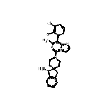 Cc1nc(N2CCC3(CC2)Cc2ccccc2[C@H]3N)n2ccnc2c1C1CC=CC(Cl)=C1Cl